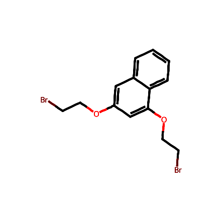 BrCCOc1cc(OCCBr)c2ccccc2c1